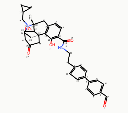 O=Cc1ccc(-c2ccc(CCNC(=O)c3ccc4c(c3O)[C@]35CCN(CC6CC6)[C@H](C4)[C@]3(O)CCC(=O)C5)cc2)cc1